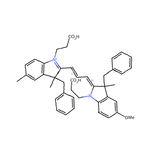 COc1ccc2c(c1)C(C)(Cc1ccccc1)/C(=C/C=C/C1=[N+](CCC(=O)O)c3ccc(C)cc3C1(C)Cc1ccccc1)N2CCC(=O)O